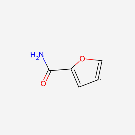 NC(=O)c1c[c]co1